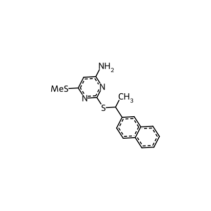 CSc1cc(N)nc(SC(C)c2ccc3ccccc3c2)n1